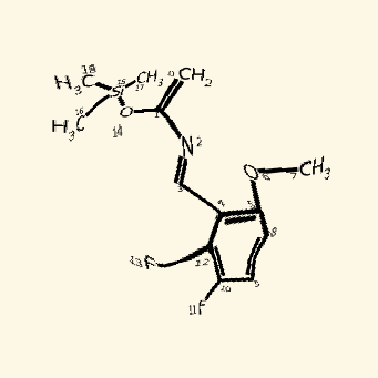 C=C(/N=C/c1c(OC)ccc(F)c1F)O[Si](C)(C)C